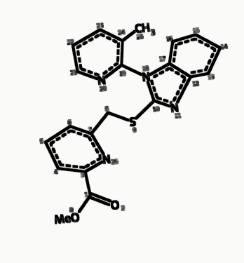 COC(=O)c1cccc(CSc2nc3ccccc3n2-c2ncccc2C)n1